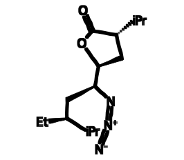 CC[C@@H](C[C@H](N=[N+]=[N-])[C@@H]1C[C@@H](C(C)C)C(=O)O1)C(C)C